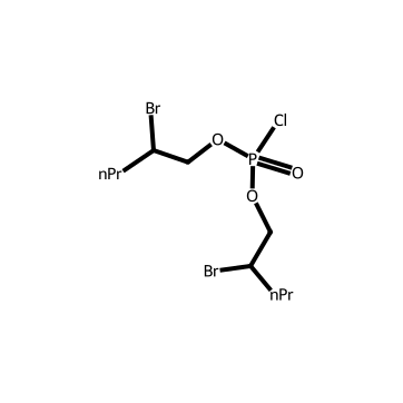 CCCC(Br)COP(=O)(Cl)OCC(Br)CCC